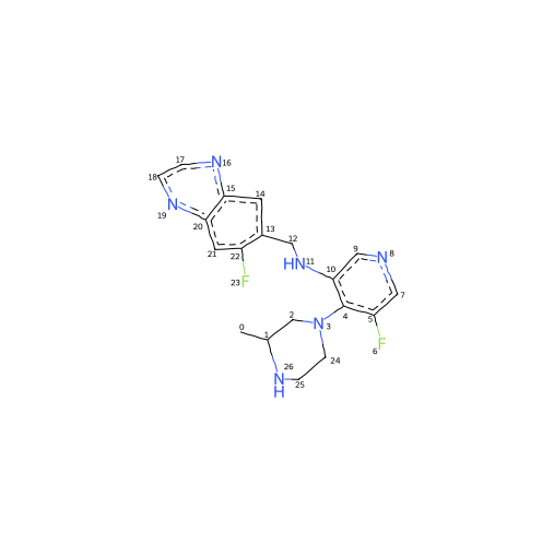 CC1CN(c2c(F)cncc2NCc2cc3nccnc3cc2F)CCN1